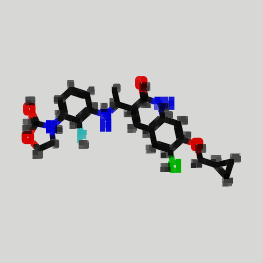 CC(Nc1cccc(N2CCOC2=O)c1F)c1cc2cc(Cl)c(OCC3CC3)cc2[nH]c1=O